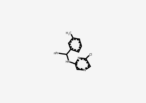 CCCC(Nc1cncc(Cl)n1)c1cccc(C)c1